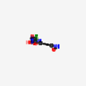 CC(=O)Nc1ccc(C#CC#Cc2ccc(C(=O)N[C@H](C(=O)NO)C(C)(NC(C)=O)C(F)F)cc2)cc1